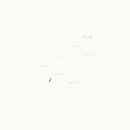 CC[C@H]1C(C)CN(Cc2ccccc2)CC1C(F)F